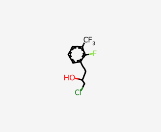 OC(CCl)Cc1cccc(C(F)(F)F)c1F